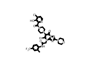 CCc1c(N2CCN(C(=O)c3nccc(Cl)c3O)CC2)c(=O)n2nc(N3CCOCC3)nc2n1CC(=O)Nc1ccc(C(F)(F)F)cc1C